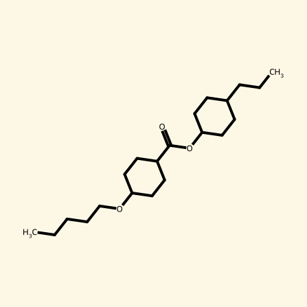 CCCCCOC1CCC(C(=O)OC2CCC(CCC)CC2)CC1